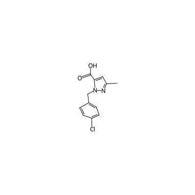 Cc1cc(C(=O)O)n(Cc2ccc(Cl)cc2)n1